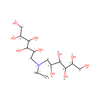 CBN(CC(O)C(O)C(O)C(O)CO)CC(O)C(O)C(O)C(O)CO